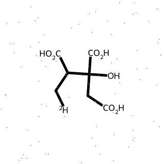 [2H]CC(C(=O)O)C(O)(CC(=O)O)C(=O)O